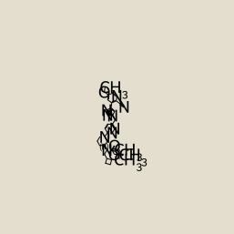 COc1cnc(C#N)c(-c2cn(Cc3ccc(N4CCC[C@@H](N(CC5CCC5)C(=O)OC(C)(C)C)C4)nn3)nn2)c1